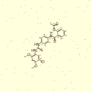 COc1cc(OC)c(NC(=S)Nc2ccc(NC(=O)c3ccccc3OC(C)=O)cc2)cc1Cl